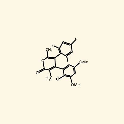 COc1cc(OC)c(Cl)c(-c2c(-c3c(F)cc(F)cc3F)c(C)oc(=O)c2C)c1